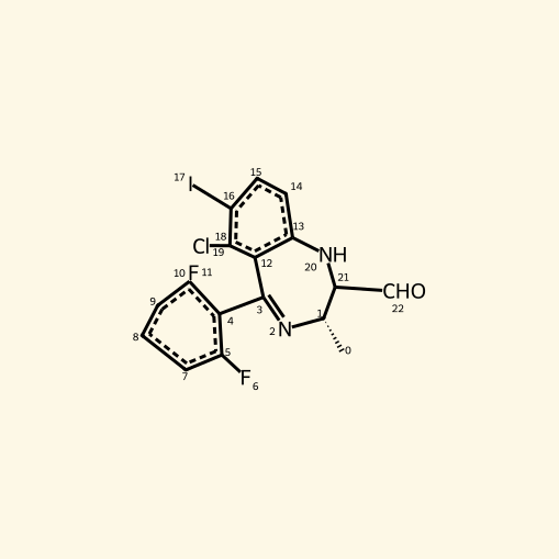 C[C@@H]1N=C(c2c(F)cccc2F)c2c(ccc(I)c2Cl)NC1C=O